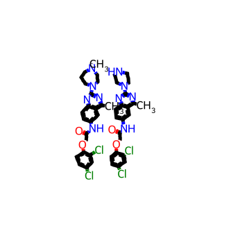 Cc1nc(N2CCCN(C)CC2)nc2ccc(NC(=O)COc3ccc(Cl)cc3Cl)cc12.Cc1nc(N2CCNCC2)nc2ccc(NC(=O)COc3ccc(Cl)cc3Cl)cc12